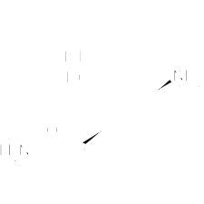 Cl.Cl.NOC[C@H]1C[C@@H](N)C1